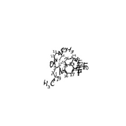 CC1CC(C(=O)N2CCN(C)CC2)CN(c2ccc(C(F)(F)F)c3ncccc23)C1